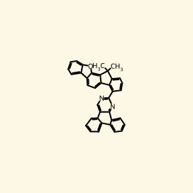 CC1(C)c2cccc(-c3ncc4c5ccccc5c5ccccc5c4n3)c2-c2ccc3c(oc4ccccc43)c21